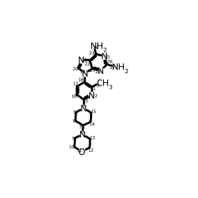 Cc1nc(N2CCC(N3CCOCC3)CC2)ccc1-n1cnc2c(N)nc(N)nc21